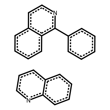 c1ccc(-c2nccc3ccccc23)cc1.c1ccc2ncccc2c1